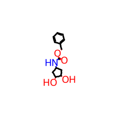 O=C(NC1C[C@@H](O)[C@@H](O)C1)OCc1ccccc1